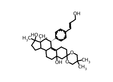 CC1(C)COC2(CCC3=C4C(CCC3(O)C2)C2CCC(C)(O)[C@@]2(C)C[C@@H]4c2ccc(/C=C/CO)cc2)OC1